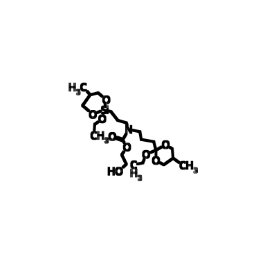 CCOC1(CCCN(CCC[Si]2(OCC)OCC(C)CO2)C(=O)OCCO)OCC(C)CO1